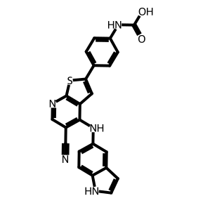 N#Cc1cnc2sc(-c3ccc(NC(=O)O)cc3)cc2c1Nc1ccc2[nH]ccc2c1